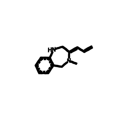 C=C/C=C1/CNc2ccccc2CN1C